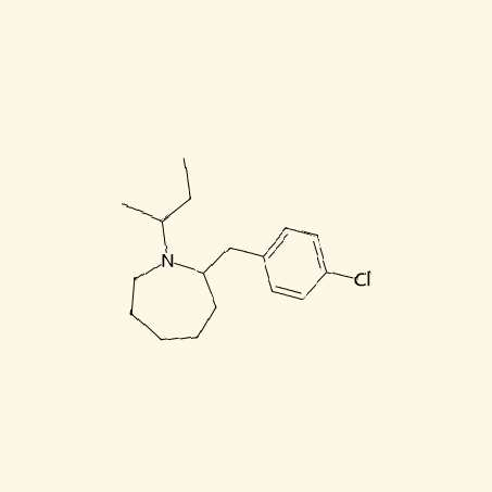 CCC(C)N1CCCCCC1Cc1ccc(Cl)cc1